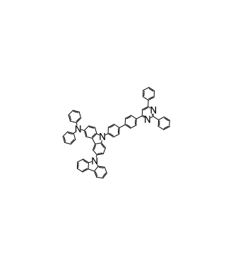 c1ccc(-c2cc(-c3ccc(-c4ccc(-n5c6ccc(N(c7ccccc7)c7ccccc7)cc6c6cc(-n7c8ccccc8c8ccccc87)ccc65)cc4)cc3)nc(-c3ccccc3)n2)cc1